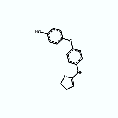 Oc1ccc(Oc2ccc(NC3=CCCS3)cc2)cc1